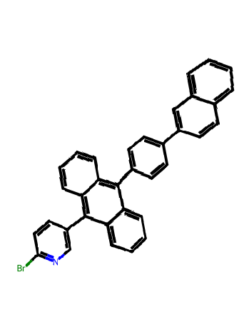 Brc1ccc(-c2c3ccccc3c(-c3ccc(-c4ccc5ccccc5c4)cc3)c3ccccc23)cn1